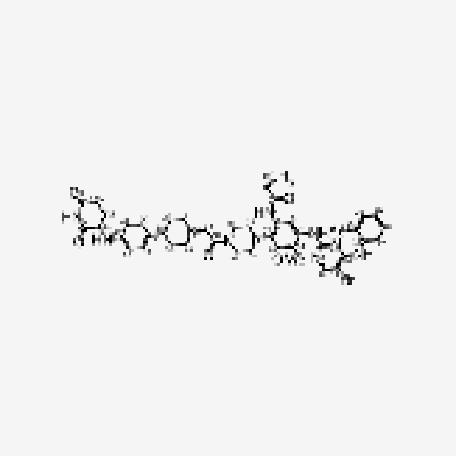 C=CC(=O)Nc1cc(Nc2ncc(Br)c(Nc3ccccc3C(C)=O)n2)c(OC)cc1N1CCN(C(=O)CN2CCC(c3ccc(NC4CCC(=O)NC4=O)cc3)CC2)CC1